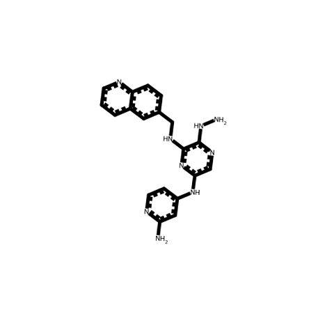 NNc1ncc(Nc2ccnc(N)c2)nc1NCc1ccc2ncccc2c1